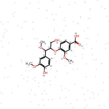 COc1cc(C(OC)C(CO)Oc2ccc(C(=O)O)cc2OC)ccc1O